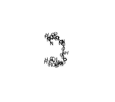 CC(C)(C)CC[C@H](NC(=O)c1ccc(Oc2cccc(OCC(=O)NCCOCCOc3ncc(-c4ccc5c(n4)N(Cc4cccnc4C#N)C(C)(C)C5=O)cn3)c2)nc1)C(=O)O